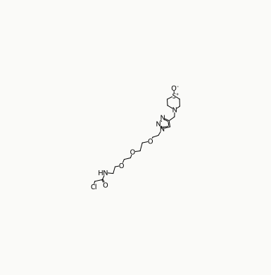 O=C(CCl)NCCOCCOCCOCCn1cc(CN2CC[S+]([O-])CC2)nn1